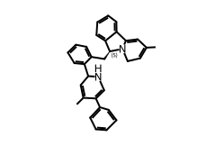 CC1=CCN2C(=C1)c1ccccc1[C@@H]2Cc1ccccc1C1C=C(C)C(c2ccccc2)=CN1